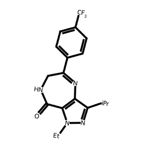 CCn1nc(C(C)C)c2c1C(=O)NCC(c1ccc(C(F)(F)F)cc1)=N2